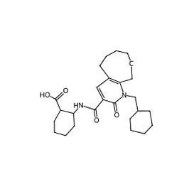 O=C(NC1CCCCC1C(=O)O)c1cc2c(n(CC3CCCCC3)c1=O)CCCCCC2